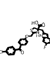 O=C(c1ccc(Cl)cc1)c1ccc(OCC2=NC(Cc3cc4ccc(F)cc4[nH]3)(C(=O)O)CS2)cc1